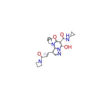 CC(C)Cn1c(=O)c(C(=O)NC2CC2)c(O)n2ncc(/C=C/C(=O)N3CCC3)c12